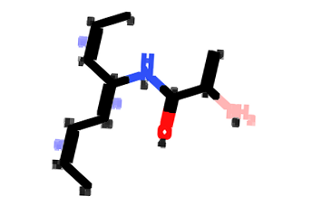 BC(=C)C(=O)NC(/C=C\C)=C/C=C\C